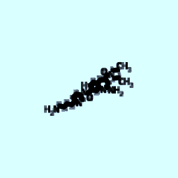 CCCN(CCC)C(=O)C1=Cc2ccc(C(=O)Nc3ccc(CCCCN)nc3)cc2N=C(N)C1